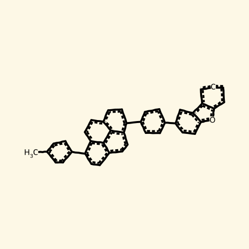 Cc1ccc(-c2ccc3ccc4c(-c5ccc(-c6ccc7oc8ccccc8c7c6)cc5)ccc5ccc2c3c54)cc1